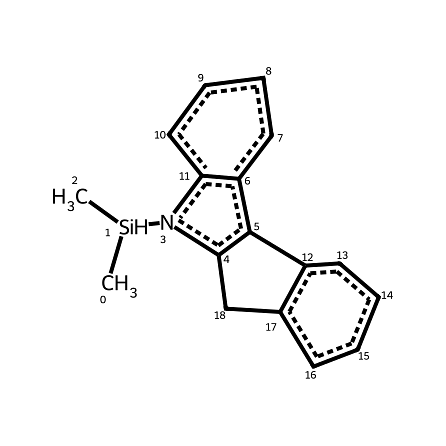 C[SiH](C)n1c2c(c3ccccc31)-c1ccccc1C2